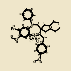 CCCCC1(CCCC)CN(c2ccccc2)c2cc(Br)c(OC)cc2S(=O)(=O)N1Cc1ccc(OC)cc1